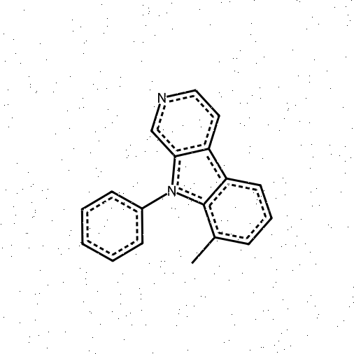 Cc1cccc2c3ccncc3n(-c3ccccc3)c12